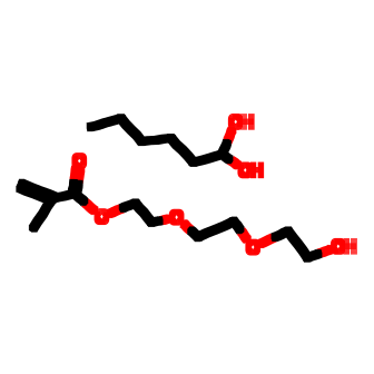 C=C(C)C(=O)OCCOCCOCCO.CCCCCC(O)O